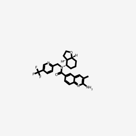 Cc1cc2cc(C(=O)N(Cc3ccc(C(F)(F)F)cn3)[C@H]3CCC[C@H]4OCC[C@@H]43)ccc2nc1N